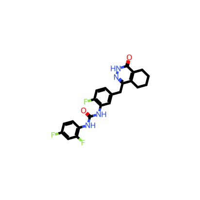 O=C(Nc1ccc(F)cc1F)Nc1cc(Cc2n[nH]c(=O)c3c2CCCC3)ccc1F